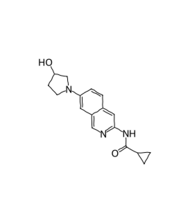 O=C(Nc1cc2ccc(N3CCC(O)C3)cc2cn1)C1CC1